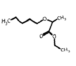 CCCCCOC(C)C(=O)OCC